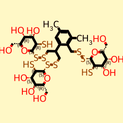 Cc1cc(C)c(CSS[C@@H]2O[C@H](CO)[C@H](O)[C@H](O)[C@H]2S)c(C(CSS[C@@H]2O[C@H](CO)[C@H](O)[C@H](O)[C@H]2S)CSS[C@@H]2O[C@H](CO)[C@H](O)[C@H](O)[C@H]2S)c1